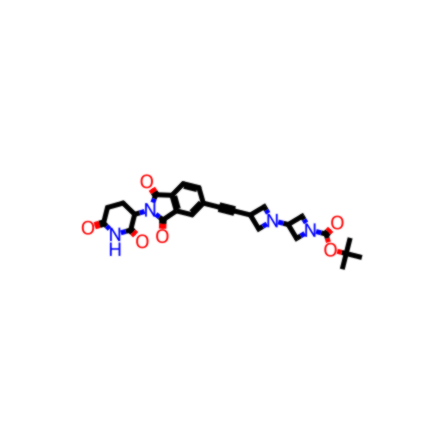 CC(C)(C)OC(=O)N1CC(N2CC(C#Cc3ccc4c(c3)C(=O)N(C3CCC(=O)NC3=O)C4=O)C2)C1